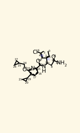 C/C=C(\C=C(/C)Cl)[C@@H](CC(N)=O)NC(=O)c1ccc(C2CC2)c(OCC2CC2)n1